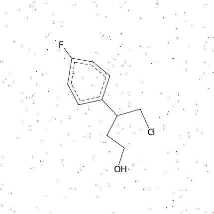 OCCC(CCl)c1ccc(F)cc1